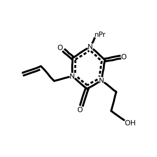 C=CCn1c(=O)n(CCC)c(=O)n(CCO)c1=O